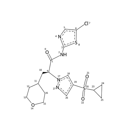 O=C(Nc1ncc(Cl)s1)[C@H](CC1CCOCC1)n1cc(S(=O)(=O)C2CC2)cn1